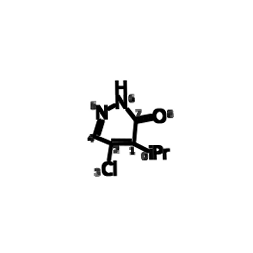 CC(C)c1c(Cl)cn[nH]c1=O